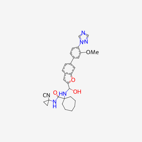 COc1cc(-c2ccc3cc(C(O)NC4(C(=O)NC5(C#N)CC5)CCCCCC4)oc3c2)ccc1-n1cncn1